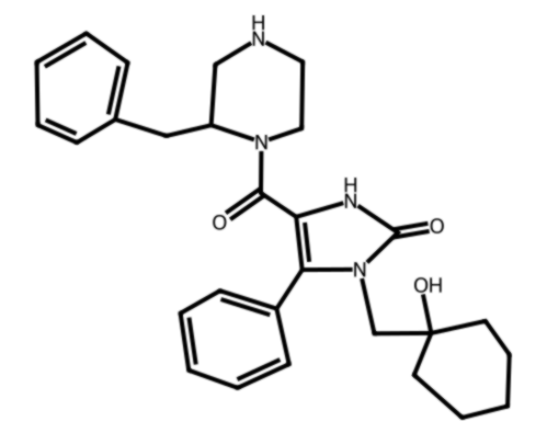 O=C(c1[nH]c(=O)n(CC2(O)CCCCC2)c1-c1ccccc1)N1CCNCC1Cc1ccccc1